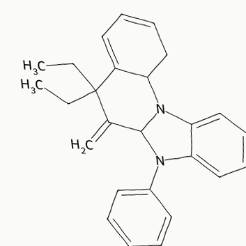 C=C1C2N(c3ccccc3)c3ccccc3N2C2CC=CC=C2C1(CC)CC